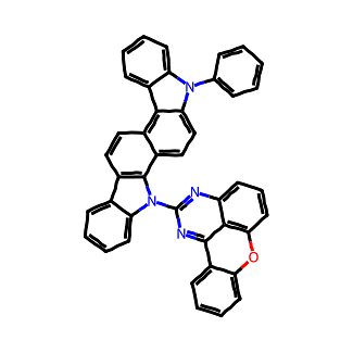 c1ccc(-n2c3ccccc3c3c4ccc5c6ccccc6n(-c6nc7c8c(cccc8n6)Oc6ccccc6-7)c5c4ccc32)cc1